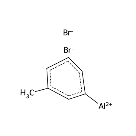 Cc1ccc[c]([Al+2])c1.[Br-].[Br-]